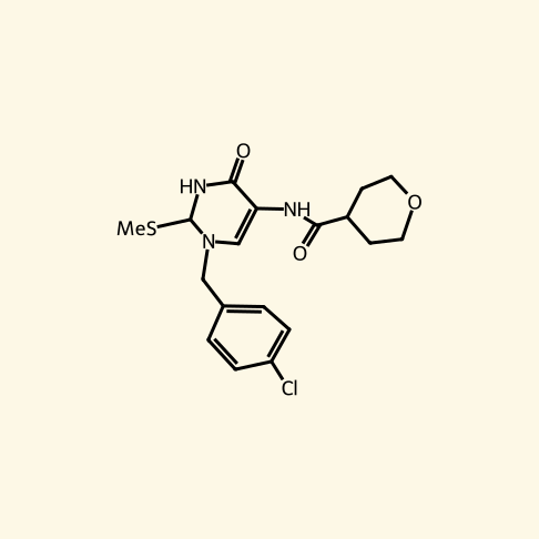 CSC1NC(=O)C(NC(=O)C2CCOCC2)=CN1Cc1ccc(Cl)cc1